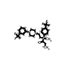 CCC(=O)[N+](C)(CCN1CCN(c2cccc(C(F)(F)F)c2)CC1)c1ccc(C(F)(F)F)cc1